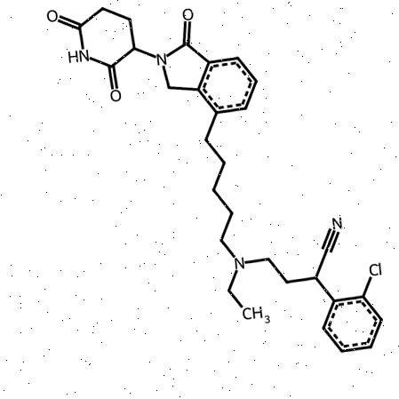 CCN(CCCCCc1cccc2c1CN(C1CCC(=O)NC1=O)C2=O)CCC(C#N)c1ccccc1Cl